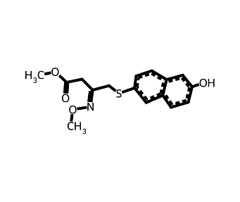 CON=C(CSc1ccc2cc(O)ccc2c1)CC(=O)OC